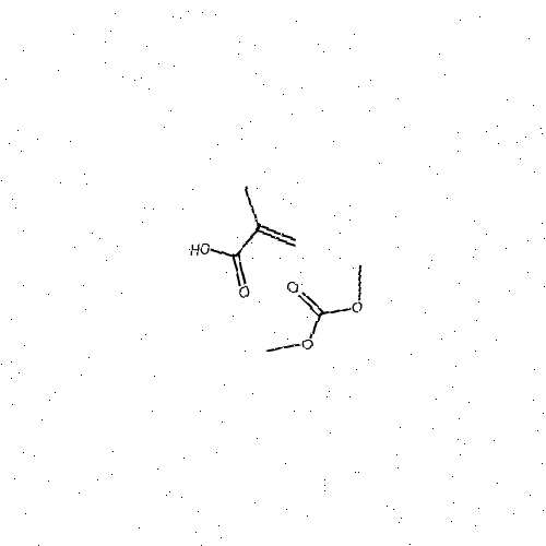 C=C(C)C(=O)O.COC(=O)OC